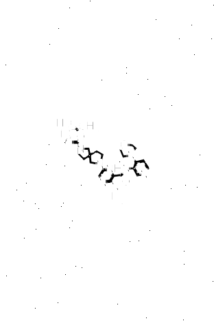 CC(C)(C)OC(=O)N1CCC2(CCN(c3cnc(N)c(C(=O)Nc4cnccc4N4CCOCC4)n3)C2)C1